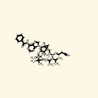 CC(C)N(C(C)C)P(OCCC#N)OC[C@]12C[C@@H]1[C@@H](n1cnc3c(NC(=O)c4ccccc4)ncnc31)[C@H](O[Si](C)(C)C(C)(C)C)[C@@H]2C